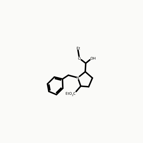 CCOC(=O)C1CCC(C(O)OCC)N1Cc1ccccc1